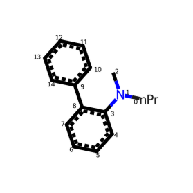 CCCN(C)c1ccccc1-c1ccccc1